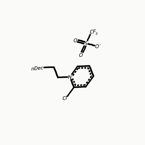 CCCCCCCCCCCC[n+]1ccccc1Cl.O=S(=O)([O-])C(F)(F)F